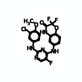 COc1ccc(Nc2ncc(F)c(Nc3ccc4c(c3)NC(=O)C(F)(F)O4)n2)cc1Cl